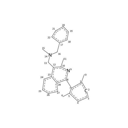 Cc1cccc(C)c1-c1nc(C)c(CN(C)Cc2ccccc2)c2ccccc12